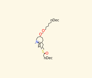 CCCCCCCCCCCCCCCOCOC1CCC(CCCSC(=O)CCCCCCCCCCC)[SiH2]N(C)CC1